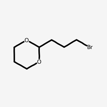 BrCCCC1OCCCO1